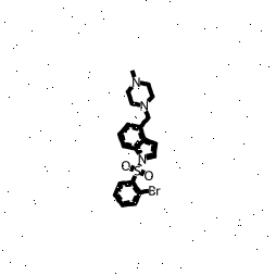 CN1CCN(Cc2cccc3c2ccn3S(=O)(=O)c2ccccc2Br)CC1